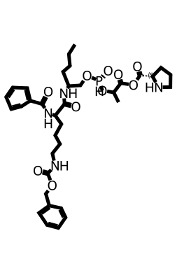 CCCCC(CO[PH](=O)OC(C)C(=O)OC(=O)[C@@H]1CCCN1)NC(=O)C(CCCCNC(=O)OCc1ccccc1)NC(=O)c1ccccc1